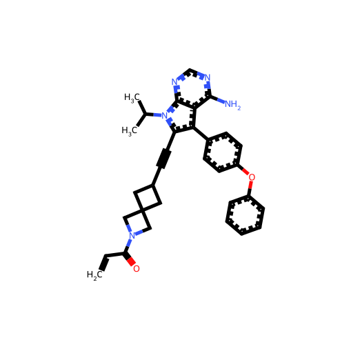 C=CC(=O)N1CC2(CC(C#Cc3c(-c4ccc(Oc5ccccc5)cc4)c4c(N)ncnc4n3C(C)C)C2)C1